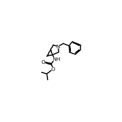 CC(C)OC(=O)NC12CC1CN(Cc1ccccc1)C2